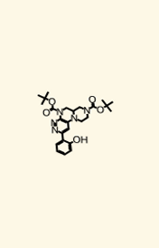 CC(C)(C)OC(=O)N1CCN2c3cc(-c4ccccc4O)nnc3N(C(=O)OC(C)(C)C)CC2C1